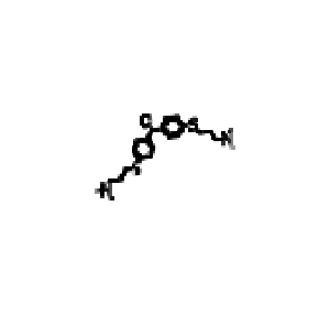 CN(C)CCCSc1ccc(C(=O)c2ccc(SCCCN(C)C)cc2)cc1